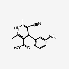 CC1=C(C#N)C(c2cccc(N)c2)C(C(=O)O)=C(C)N1